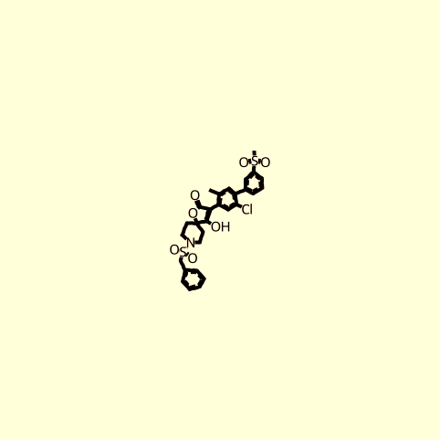 Cc1cc(-c2cccc(S(C)(=O)=O)c2)c(Cl)cc1C1=C(O)C2(CCN(S(=O)(=O)Cc3ccccc3)CC2)OC1=O